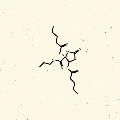 CCCCC(=O)OC1CC(=O)N[C@]1(OC(=O)CCCC)C(=O)OCCC